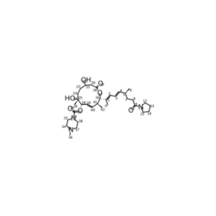 C/C(=C\C=C\[C@@H](C)CCC(=O)N1CCCC1)[C@H]1OC(=O)C[C@H](O)CC[C@@](C)(O)[C@@H](OC(=O)N2CCN(C)CC2)/C=C/[C@@H]1C